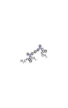 C=C/C=C\C1=Cc2ccccc2C2CC=C(N(c3ccccc3)c3ccc(-c4ccc(-c5ccc(N(/C(C=C)=C/c6cc7ccccc7cc6/C=C\C=C)c6ccccc6)cc5)cc4)cc3)C=C12